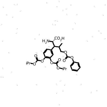 CC(C)OC(=O)Oc1ccc(C(C(C)COC(=O)Oc2ccccc2)[C@H](N)C(=O)O)cc1OC(=O)OC(C)C